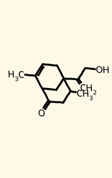 C=C(CO)C12CC=C(C)C(C1)C(=O)CC2C